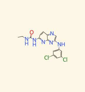 CCNC(=O)Nc1ccc2ncc(Nc3cc(Cl)cc(Cl)c3)nc2n1